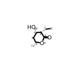 CC[C@@H]1C(=O)O[C@H](C)C[C@@H]1O